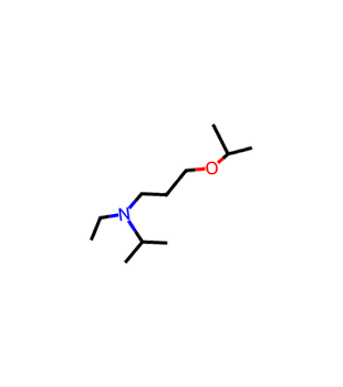 CCN(CCCOC(C)C)C(C)C